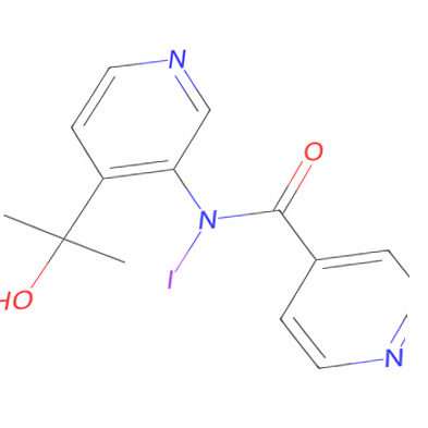 CC(C)(O)c1ccncc1N(I)C(=O)c1ccncc1